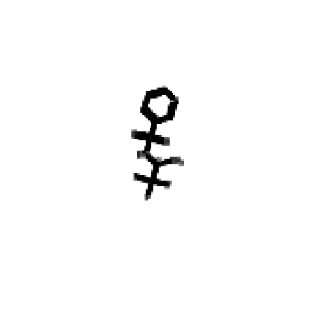 C[C@H](NS(=O)(=O)c1cccnc1)C(F)(F)F